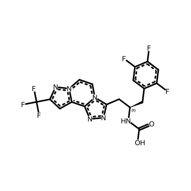 O=C(O)N[C@H](Cc1cc(F)c(F)cc1F)Cc1nnc2c3cc(C(F)(F)F)nn3ccn12